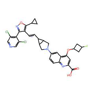 O=C(O)c1cc(OC2CC(F)C2)c2cc(N3CC4C(/C=C/c5c(-c6c(Cl)cncc6Cl)noc5C5CC5)C4C3)ccc2n1